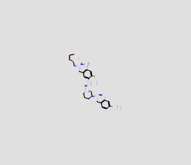 CC(C)n1c(=O)n(CC2CCCO2)c(=O)c2cc(NC(=O)N3CCCC(n4cnc5cc(C#N)ccc5c4=O)C3)c(F)cc21